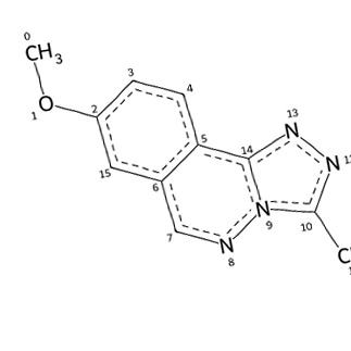 COc1ccc2c(cnn3c(C)nnc23)c1